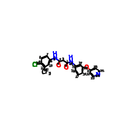 O=C(CC(=O)Nc1ccc(Cl)c(C(F)(F)F)c1)Nc1cccc(Oc2ccncc2)c1